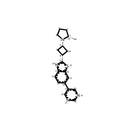 C[C@H]1CCCN1[C@H]1C[C@@H](c2nc3ccc(-c4cncnc4)cc3s2)C1